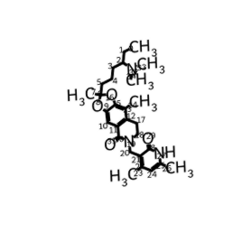 CCC(CCCC1(C)Oc2cc3c(c(C)c2O1)CCN(Cc1c(C)cc(C)[nH]c1=O)C3=O)N(C)C